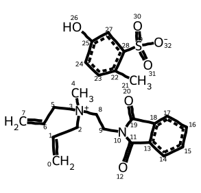 C=CC[N+](C)(CC=C)CCN1C(=O)c2ccccc2C1=O.Cc1ccc(O)cc1S(=O)(=O)[O-]